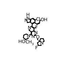 C[C@@]1(O)CCCN(c2nc(OC[C@@]34CCCN3C[C@H](F)C4)nc3c(F)c(-c4c(/C=C\CO)c(Cl)cc5[nH]ncc45)ncc23)C1